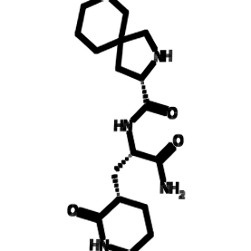 NC(=O)[C@H](C[C@@H]1CCCNC1=O)NC(=O)[C@@H]1CC2(CCCCC2)CN1